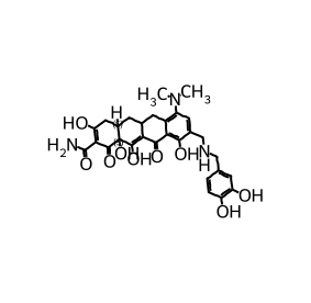 CN(C)c1cc(CNCc2ccc(O)c(O)c2)c(O)c2c1CC1C[C@H]3CC(O)=C(C(N)=O)C(=O)[C@@]3(O)C(O)=C1C2=O